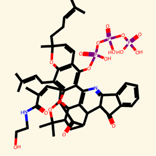 CC(C)=CCCC1(C)C=Cc2c(c(CC=C(C)C)c3c(c2OP(=O)(O)OP(=O)(O)OP(=O)(O)O)C2=C4C(C5CC6C(C)(C)OC(C/C=C(/C)C(=O)NCCO)(C5=O)C46O3)C3C(=O)c4ccccc4C3=N2)O1